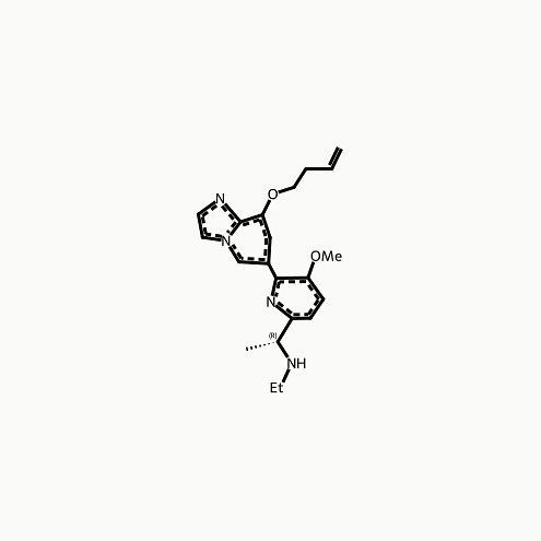 C=CCCOc1cc(-c2nc([C@@H](C)NCC)ccc2OC)cn2ccnc12